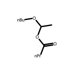 CCCCOC(C)OC(=O)CCC